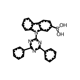 OB(O)c1ccc2c3ccccc3n(-c3nc(-c4ccccc4)nc(-c4ccccc4)n3)c2c1